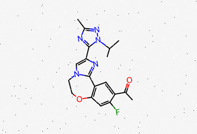 CC(=O)c1cc2c(cc1F)OCCn1cc(-c3nc(C)nn3C(C)C)nc1-2